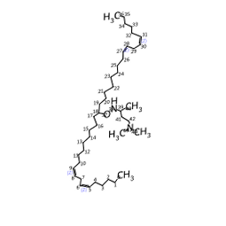 CCCCC/C=C\C/C=C\CCCCCCCCC(CCCCCCCC/C=C\C/C=C\CCCCC)ONC(C)CCN(C)C